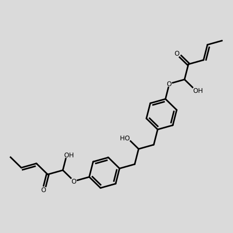 CC=CC(=O)C(O)Oc1ccc(CC(O)Cc2ccc(OC(O)C(=O)C=CC)cc2)cc1